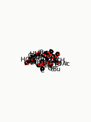 CC[C@H](C)C(NC(=O)CNC(=O)[C@@H]1CC2(O)c3ccccc3NC2N1C(=O)OC(C)(C)C)C(=O)NCC(=O)NC(CSC(c1ccccc1)(c1ccccc1)c1ccccc1)C(=O)N[C@@H](CC(=O)NC(c1ccccc1)(c1ccccc1)c1ccccc1)C(=O)N1C[C@H](OC(C)(C)C)CC1C(=O)NC(C(=O)OCc1ccccc1)[C@@H](C)[C@H](C)OC(C)=O